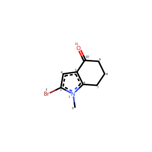 Cn1c(Br)cc2c1CCCC2=O